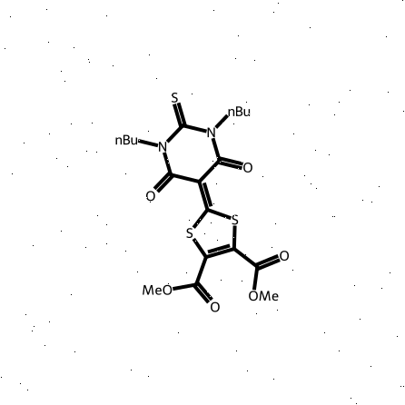 CCCCN1C(=O)C(=C2SC(C(=O)OC)=C(C(=O)OC)S2)C(=O)N(CCCC)C1=S